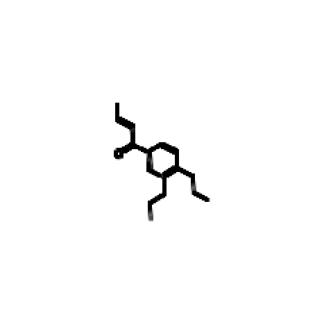 C/C=C/C(=O)c1ccc(CCC)c(CCC)c1